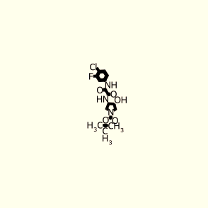 CC(C)(C)OC(=O)N1CC(O)[C@@H](NC(=O)C(=O)Nc2ccc(Cl)c(F)c2)C1